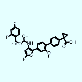 COc1cc(-c2sc(F)cc2NC(O)O[C@H](C)c2ccc(F)cc2F)ccc1-c1ccc(C2(C(=O)O)CC2)cc1